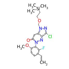 C=Cc1ccc(OC)c(-n2nc3c(Cl)nn(COCC[Si](C)(C)C)c3cc2=O)c1F